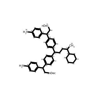 CCCCCCCCCCCC(c1ccc(N)cc1)c1ccc(C(CCC(C)C2CCCCC2)c2ccc(C(CCCCCCCCCCC)c3ccc(N)cc3)cc2)cc1